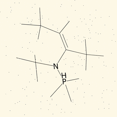 C/C(=C(/N(C(C)(C)C)[PH](C)(C)C)C(C)(C)C)C(C)(C)C